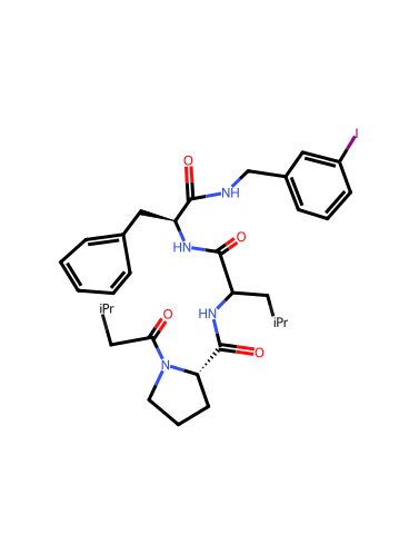 CC(C)CC(=O)N1CCC[C@H]1C(=O)NC(CC(C)C)C(=O)N[C@@H](Cc1ccccc1)C(=O)NCc1cccc(I)c1